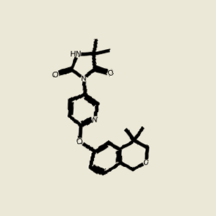 CC1(C)NC(=O)N(c2ccc(Oc3ccc4c(c3)C(C)(C)COC4)nc2)C1=O